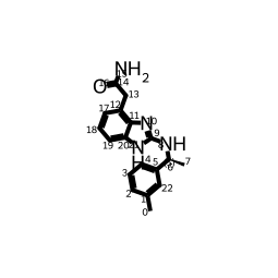 Cc1cccc([C@H](C)Nc2nc3c(CC(N)=O)cccc3[nH]2)c1